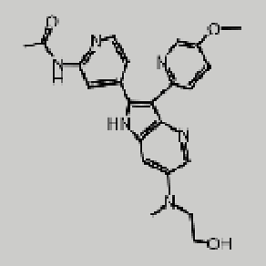 COc1ccc(-c2c(-c3ccnc(NC(C)=O)c3)[nH]c3cc(N(C)CCO)cnc23)nc1